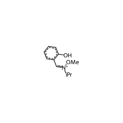 CO/[N+](=C\c1ccccc1O)C(C)C